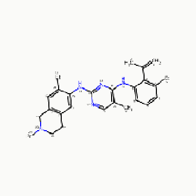 C=C(C)c1c(CC)cccc1Nc1nc(Nc2cc3c(cc2CC)CN(C(C)C)CC3)ncc1C